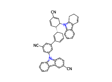 N#CC1=CC(n2c3c(c4ccccc42)C=CCC3)C([C@H]2C=C(c3cc(C#N)cc(-n4c5ccccc5c5cc(C#N)ccc54)c3)C=CC2)C=C1